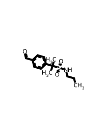 CCCNS(=O)(=O)C(C)(C)c1ccc(C=O)cc1